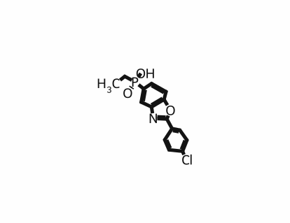 CCP(=O)(O)c1ccc2oc(-c3ccc(Cl)cc3)nc2c1